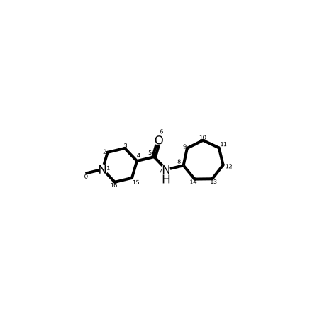 CN1CCC(C(=O)NC2CCCCCC2)CC1